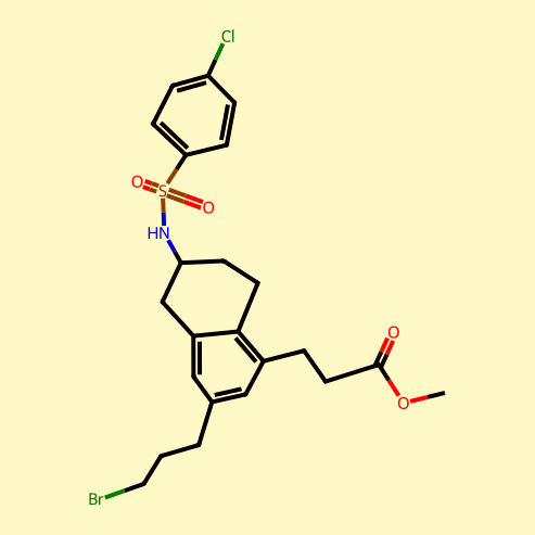 COC(=O)CCc1cc(CCCBr)cc2c1CCC(NS(=O)(=O)c1ccc(Cl)cc1)C2